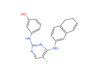 Oc1cccc(Nc2ncc(F)c(Nc3ccc4c(c3)C=CCC4)n2)c1